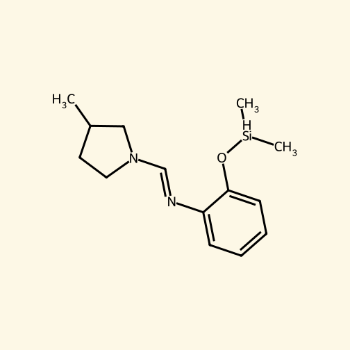 CC1CCN(C=Nc2ccccc2O[SiH](C)C)C1